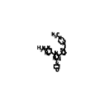 CN1CCN(Cc2ccc(-c3nc(-c4cnc(N)nc4)nc(N4CCOCC4)n3)s2)CC1